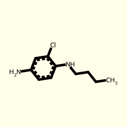 CCCCNc1ccc(N)cc1Cl